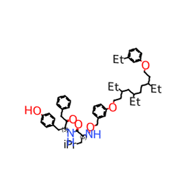 CCc1cccc(OCCC(CC)CCC(CC)CC(CC)CCOc2cccc(CON[C@@H](CC(C)C)C(=O)N[C@@H](Cc3ccc(O)cc3)C(=O)Cc3ccccc3)c2)c1